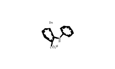 O=C(O)c1ccccc1Nc1ccccc1.[Zn]